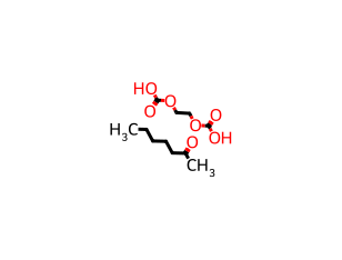 CCCCCC(C)=O.O=C(O)OCCOC(=O)O